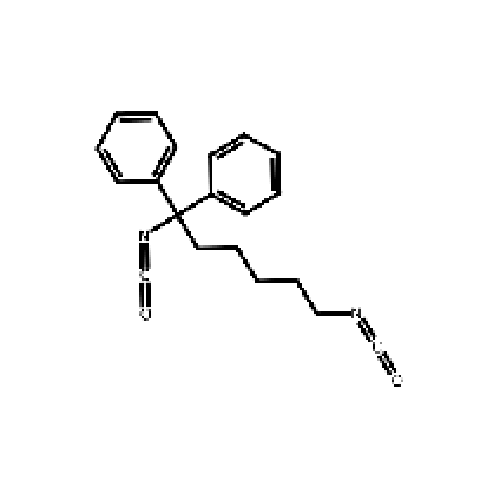 O=C=NCCCCCC(N=C=O)(c1ccccc1)c1ccccc1